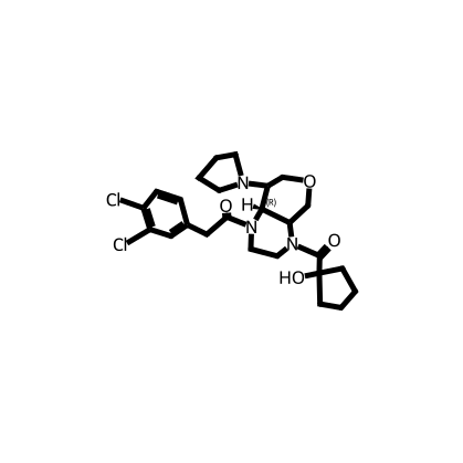 O=C(Cc1ccc(Cl)c(Cl)c1)N1CCN(C(=O)C2(O)CCCC2)C2COCC(N3CCCC3)[C@H]21